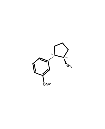 COc1cccc([C@@H]2CCC[C@H]2N)c1